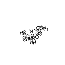 CCN(C(=O)Oc1cccc(NC(=O)Nc2ccc(-c3cnco3)c(OC)c2)c1)[C@@H](C)CCC#N